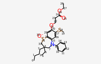 CCCCC1(CC)CN(c2ccccc2)c2cc(SC)c(OCCC(=O)OCC)cc2[S+]([O-])C1